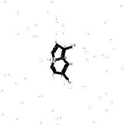 Ic1ccn2ccc(I)c2c1